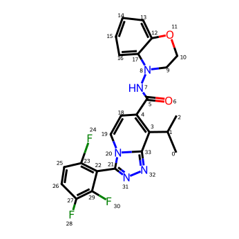 CC(C)c1c(C(=O)NN2CCOc3ccccc32)ccn2c(-c3c(F)ccc(F)c3F)nnc12